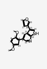 COc1ccc(OC)c(-c2cnc3[nH]cc(-c4ccoc4)c3c2)c1